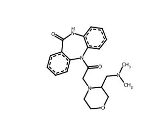 CN(C)CC1COCCN1CC(=O)N1c2ccccc2NC(=O)c2ccccc21